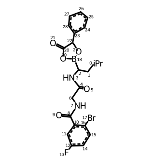 CC(C)CC(NC(=O)CNC(=O)c1cc(F)ccc1Br)B1OC(=O)C(c2ccccc2)O1